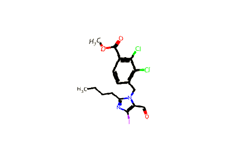 CCCCc1nc(I)c(C=O)n1Cc1ccc(C(=O)OC)c(Cl)c1Cl